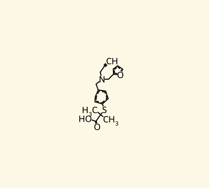 C#CCN(Cc1ccc(SC(C)(C)C(=O)O)cc1)Cc1ccco1